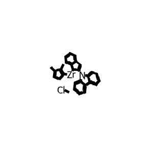 CC1=CC[C]([Zr][CH]2C(n3c4ccccc4c4ccccc43)=Cc3ccccc32)=C1C.CCl